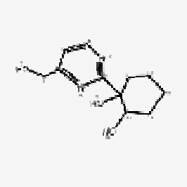 OCc1ccnc(C2(O)CCCCC2O)n1